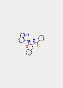 O=C(NC(Cc1ccccc1)C(=O)Nc1cccc2cc[nH]c12)c1ccccc1